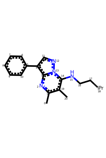 Cc1nc2c(-c3ccccc3)cnn2c(NCCC(C)C)c1C